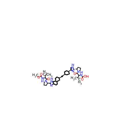 COC(=O)N[C@H](C(=O)N1CCCC1c1nc2ccc3cc(C#Cc4ccc(-c5c[nH]c([C@@H]6CCCN6C(=O)[C@@H](NC(=O)O)C(C)C)n5)cc4)ccc3c2[nH]1)C(C)C